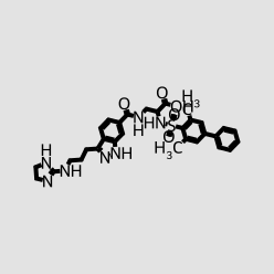 Cc1cc(-c2ccccc2)cc(C)c1S(=O)(=O)NC(CNC(=O)c1ccc2c(CCCNC3=NCCN3)n[nH]c2c1)C(=O)O